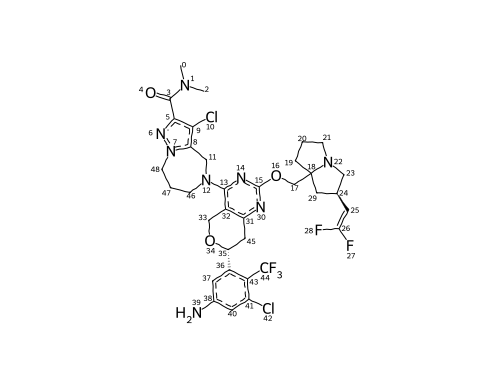 CN(C)C(=O)c1nn2c(c1Cl)CN(c1nc(OCC34CCCN3C[C@@H](C=C(F)F)C4)nc3c1CO[C@@H](c1cc(N)cc(Cl)c1C(F)(F)F)C3)CCC2